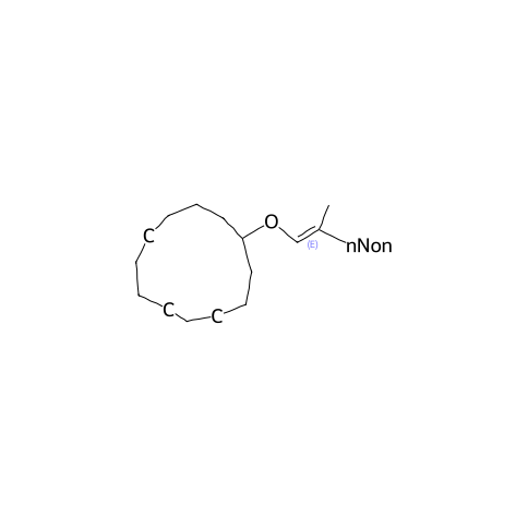 CCCCCCCCC/C(C)=C/OC1CCCCCCCCCCC1